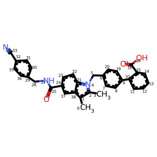 Cc1c(C)n(Cc2ccc(-c3ccccc3C(=O)O)cc2)c2ccc(C(=O)NCc3ccc(C#N)cc3)cc12